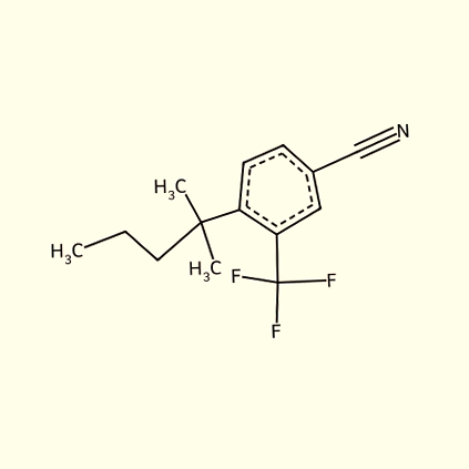 CCCC(C)(C)c1ccc(C#N)cc1C(F)(F)F